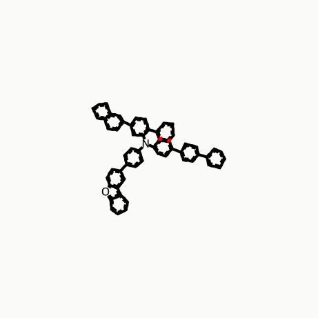 c1ccc(-c2ccc(-c3ccc(N(c4ccc(-c5ccc6oc7ccccc7c6c5)cc4)c4cc(-c5ccc6ccccc6c5)ccc4-c4ccccc4)cc3)cc2)cc1